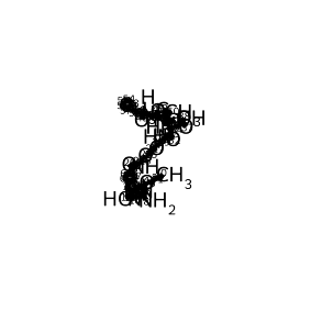 CCCCOc1nc(N)c2nc(O)n(Cc3ccc(C(=O)NCCOCCOCCNC(=O)[C@@H](CCC(=O)O)NC(=O)[C@@H](NC(=O)CNC(=O)/C=C/c4ccccc4)C(C)C)cc3)c2n1